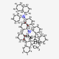 CC1(C)c2ccccc2-c2ccc(N(c3ccccc3-c3ccccc3)c3c(-c4ccc(N(c5ccccc5)c5cccc6ccccc56)cc4)ccc4c3C(C)(C)c3ccccc3-4)cc21